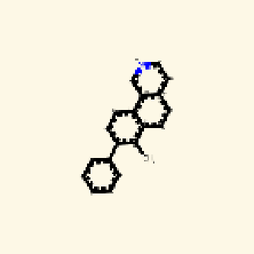 Cc1c(-c2ccccc2)ccc2c1ccc1ccncc12